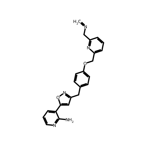 C=NCc1cccc(COc2ccc(Cc3cc(-c4cccnc4N)on3)cc2)n1